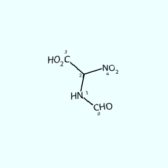 O=CNC(C(=O)O)[N+](=O)[O-]